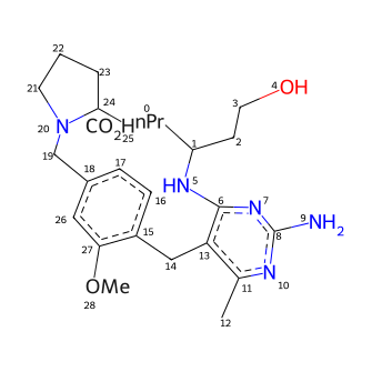 CCCC(CCO)Nc1nc(N)nc(C)c1Cc1ccc(CN2CCCC2C(=O)O)cc1OC